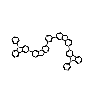 c1ccc(-n2c3ccccc3c3cc(-c4ccc5c(c4)-c4cc(-c6cccc(-c7ccc8c(c7)-c7cc(-c9ccc%10c(c9)c9ccccc9n%10-c9ccccc9)ccc7C8)c6)ccc4C5)ccc32)cc1